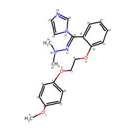 COc1ccc(OCCOc2ccccc2C(=NN(C)C)n2ccnc2)cc1